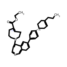 CCCC1=CC[C@H](c2ccc(C3=CCC4=CN=CC=C(N5CC/C=C(\C(=O)OCC)CCC5)C4=C3)cc2)CC1